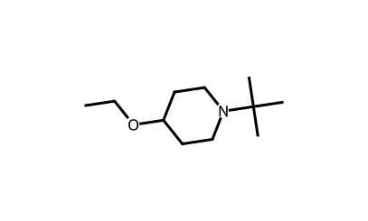 CCOC1CCN(C(C)(C)C)CC1